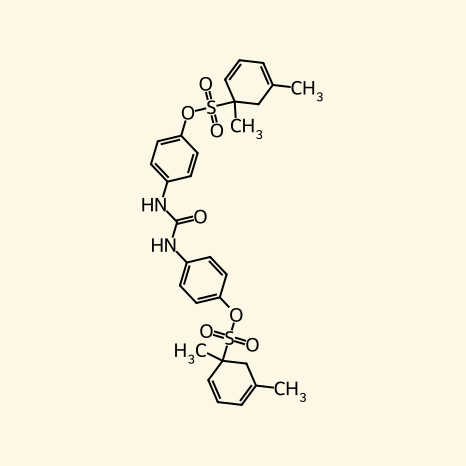 CC1=CC=CC(C)(S(=O)(=O)Oc2ccc(NC(=O)Nc3ccc(OS(=O)(=O)C4(C)C=CC=C(C)C4)cc3)cc2)C1